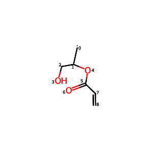 [CH2]C(CO)OC(=O)C=C